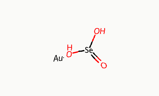 O=[Se](O)O.[Au]